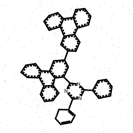 C1=CCCC(c2nc(-c3ccccc3)nc(-c3cc(-c4ccc5c6ccccc6c6ccccc6c5c4)cc4c5ccccc5c5ccccc5c34)n2)=C1